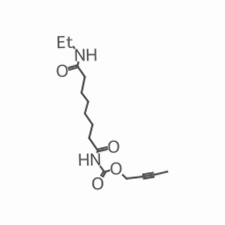 CC#CCOC(=O)NC(=O)CCCCCCC(=O)NCC